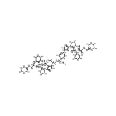 C=C/C(=C\C=C(/C)c1ccc(-c2cnc([C@@H]3CCCN3C(=O)[C@H](NC(=O)CCN3CCCCC3)c3ccccc3)s2)cc1)c1cnc([C@@H]2CCCN2C(=O)[C@H](NC(=O)CCN2CCCCC2)c2ccccc2)s1